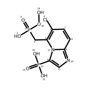 O=P(O)(Cc1c(Cl)ccc2ncc(P(=O)(O)O)n12)OO